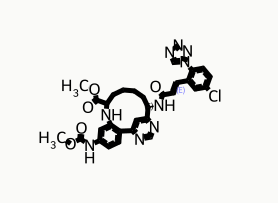 COC(=O)Nc1ccc2c(c1)NC(C(=O)OC)CCCC[C@H](NC(=O)/C=C/c1cc(Cl)ccc1-n1cnnn1)c1cc-2ncn1